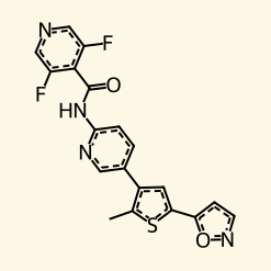 Cc1sc(-c2ccno2)cc1-c1ccc(NC(=O)c2c(F)cncc2F)nc1